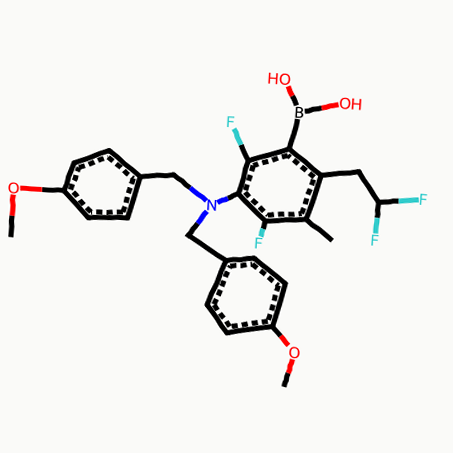 COc1ccc(CN(Cc2ccc(OC)cc2)c2c(F)c(C)c(CC(F)F)c(B(O)O)c2F)cc1